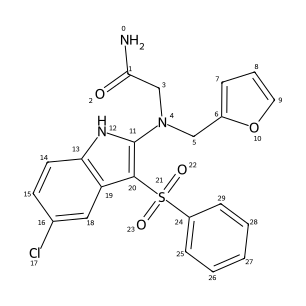 NC(=O)CN(Cc1ccco1)c1[nH]c2ccc(Cl)cc2c1S(=O)(=O)c1ccccc1